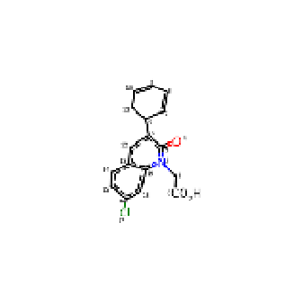 O=C(O)Cn1c(=O)c(C2C=CC=CC2)cc2ccc(Cl)cc21